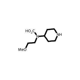 COCCN(C(=O)O)C1CCNCC1